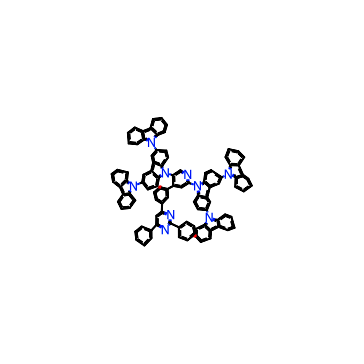 c1ccc(-c2cc(-c3cccc(-c4cc(-n5c6ccc(-n7c8ccccc8c8ccccc87)cc6c6cc(-n7c8ccccc8c8ccccc87)ccc65)ncc4-n4c5ccc(-n6c7ccccc7c7ccccc76)cc5c5cc(-n6c7ccccc7c7ccccc76)ccc54)c3)nc(-c3ccccc3)n2)cc1